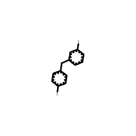 Ic1ccc(Cc2cccc(I)c2)cc1